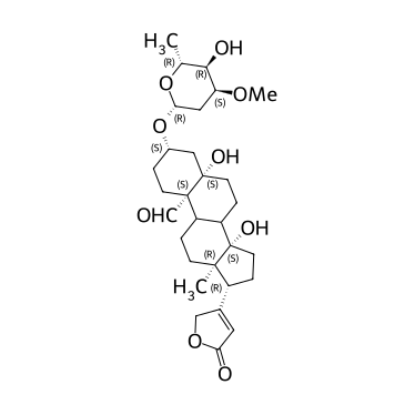 CO[C@H]1C[C@H](O[C@H]2CC[C@]3(C=O)C4CC[C@]5(C)[C@@H](C6=CC(=O)OC6)CC[C@]5(O)C4CC[C@]3(O)C2)O[C@H](C)[C@H]1O